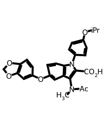 CC(=O)N(C)c1c(C(=O)O)n(-c2ccc(OC(C)C)cc2)c2ccc(Oc3ccc4c(c3)OCO4)cc12